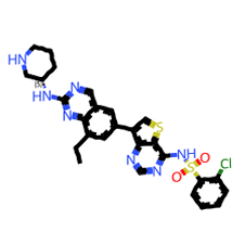 CCc1cc(-c2csc3c(NS(=O)(=O)c4ccccc4Cl)ncnc23)cc2cnc(N[C@H]3CCCNC3)nc12